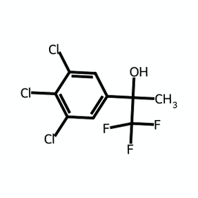 CC(O)(c1cc(Cl)c(Cl)c(Cl)c1)C(F)(F)F